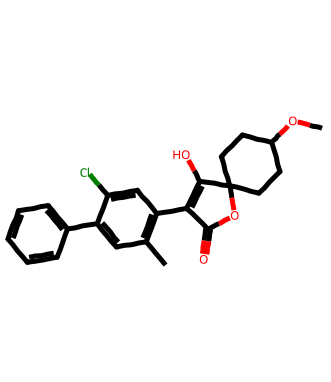 COC1CCC2(CC1)OC(=O)C(c1cc(Cl)c(-c3ccccc3)cc1C)=C2O